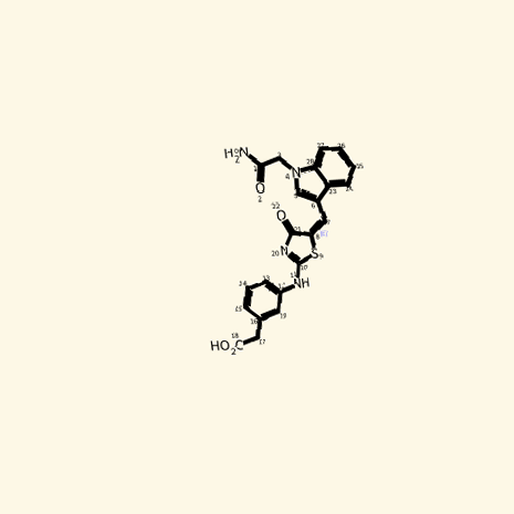 NC(=O)Cn1cc(/C=C2/SC(Nc3cccc(CC(=O)O)c3)=NC2=O)c2ccccc21